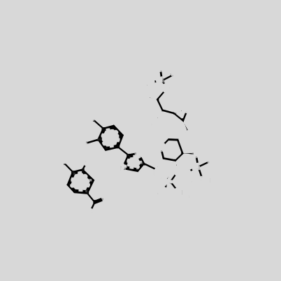 C[C@@H]([C@@H]1O[C@H]1C[C@H]1CO[C@@H](Cc2cnc(-c3ccc(Cl)c(Cl)c3)o2)[C@@H](O[Si](C)(C)C)[C@@H]1O[Si](C)(C)C)[C@H](C)O[Si](C)(C)C.O=C(O)c1ccc(Cl)c(Cl)c1